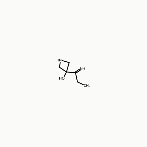 CCC(=N)C1(O)CNC1